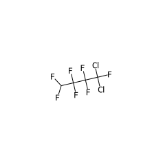 FC(F)C(F)(F)C(F)(F)C(F)(Cl)Cl